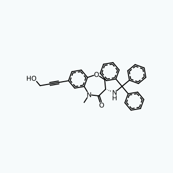 CN1C(=O)[C@@H](NC(c2ccccc2)(c2ccccc2)c2ccccc2)COc2ccc(C#CCO)cc21